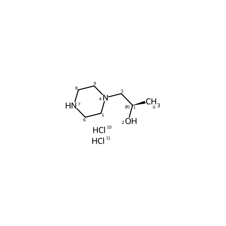 C[C@@H](O)CN1CCNCC1.Cl.Cl